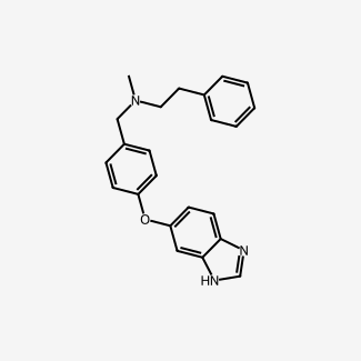 CN(CCc1ccccc1)Cc1ccc(Oc2ccc3nc[nH]c3c2)cc1